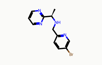 C[C@@H](NCc1ccc(Br)cn1)c1ncccn1